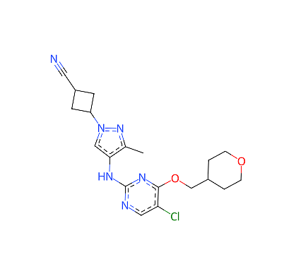 Cc1nn(C2CC(C#N)C2)cc1Nc1ncc(Cl)c(OCC2CCOCC2)n1